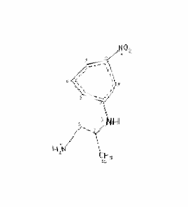 NCC(Nc1cccc([N+](=O)[O-])c1)C(F)(F)F